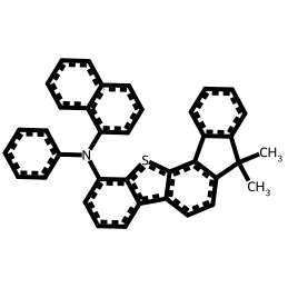 CC1(C)c2ccccc2-c2c1ccc1c2sc2c(N(c3ccccc3)c3cccc4ccccc34)cccc21